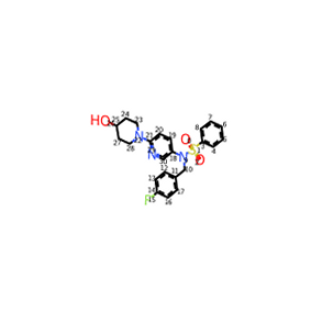 O=S(=O)(c1ccccc1)N(Cc1ccc(F)cc1)c1ccc(N2CCC(O)CC2)nc1